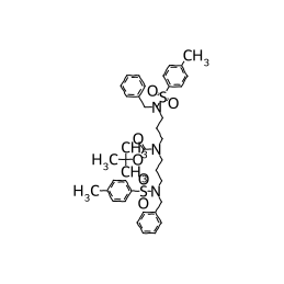 Cc1ccc(S(=O)(=O)N(CCCN(CCCN(Cc2ccccc2)S(=O)(=O)c2ccc(C)cc2)C(=O)OC(C)(C)C)Cc2ccccc2)cc1